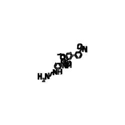 CCOc1ccc(-c2cccc(C(=O)N(C)C)c2)cc1S(=O)(=O)Nc1cccc(NCCN)c1